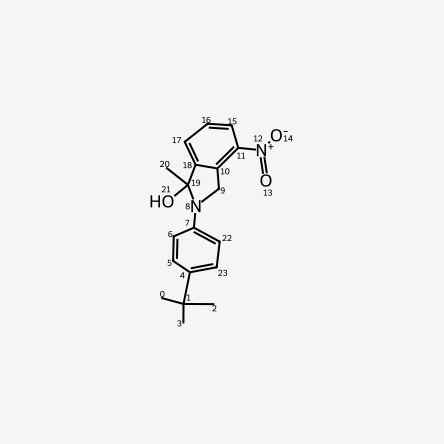 CC(C)(C)c1ccc(N2Cc3c([N+](=O)[O-])cccc3C2(C)O)cc1